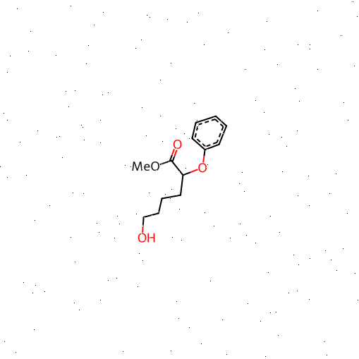 COC(=O)C(CCCCO)Oc1ccccc1